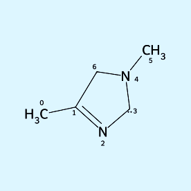 CC1=N[C]N(C)C1